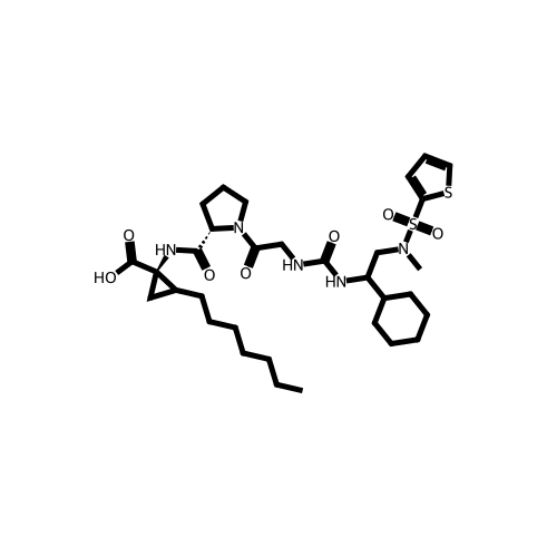 CCCCCCCC1C[C@]1(NC(=O)[C@@H]1CCCN1C(=O)CNC(=O)NC(CN(C)S(=O)(=O)c1cccs1)C1CCCCC1)C(=O)O